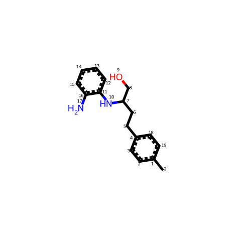 Cc1ccc(CCC(CO)Nc2ccccc2N)cc1